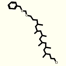 CC(CCCCl)CC(C)CC(C)CC(C)CC(C)CC(C)CCCOCOCc1ccccc1